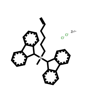 C=CCCCC[Si](C)(C1c2ccccc2-c2ccccc21)C1c2ccccc2-c2ccccc21.[Cl-].[Cl-].[Zr+2]